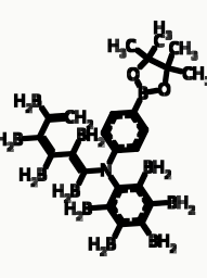 BC(=C)/C(B)=C(B)\C(B)=C(/B)N(c1ccc(B2OC(C)(C)C(C)(C)O2)cc1)c1c(B)c(B)c(B)c(B)c1B